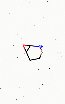 C1CC2OC2NS1